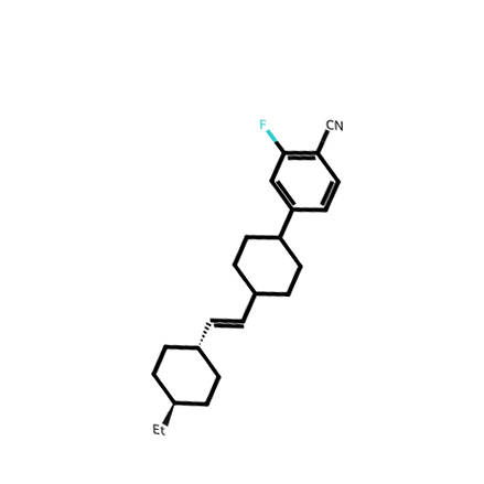 CC[C@H]1CC[C@H](/C=C/C2CCC(c3ccc(C#N)c(F)c3)CC2)CC1